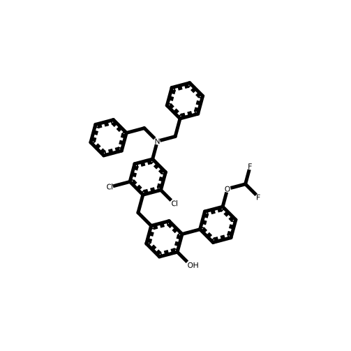 Oc1ccc(Cc2c(Cl)cc(N(Cc3ccccc3)Cc3ccccc3)cc2Cl)cc1-c1cccc(OC(F)F)c1